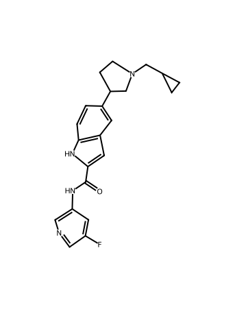 O=C(Nc1cncc(F)c1)c1cc2cc(C3CCN(CC4CC4)C3)ccc2[nH]1